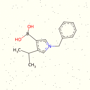 CC(C)c1cn(Cc2ccccc2)cc1B(O)O